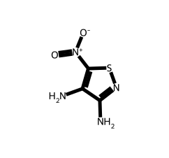 Nc1nsc([N+](=O)[O-])c1N